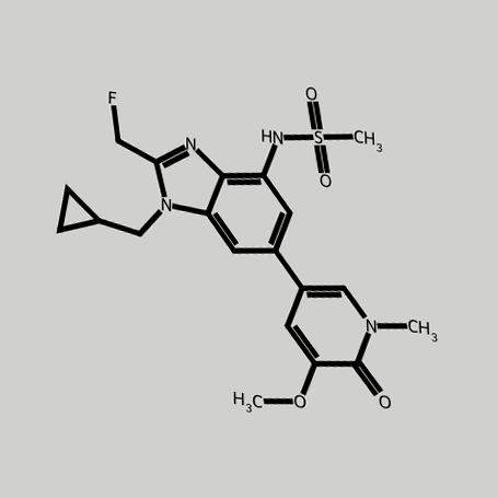 COc1cc(-c2cc(NS(C)(=O)=O)c3nc(CF)n(CC4CC4)c3c2)cn(C)c1=O